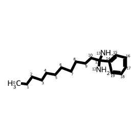 CCCCCCCCCCCC(N)(N)c1ccccc1